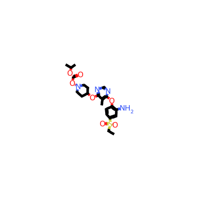 CCS(=O)(=O)c1ccc(Oc2ncnc(OC3CCN(OC(=O)OC(C)C)CC3)c2C)c(N)c1